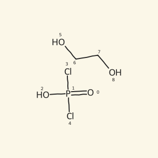 O=P(O)(Cl)Cl.OCCO